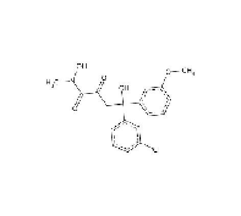 COc1cccc(C(O)(CC(=O)C(=O)N(C)O)c2cccc(Cl)c2)c1